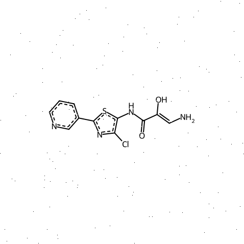 N/C=C(\O)C(=O)Nc1sc(-c2cccnc2)nc1Cl